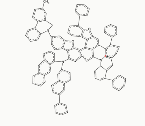 Cc1ccc2c(c1)CN(c1ccc3c(c1)oc1c3c(N(c3ccc4cc(-c5ccccc5)ccc4c3)c3cccc4cc5ccccc5cc34)cc3cc(N4C=CC=C5C(c6ccccc6)=CC=CC54)c4c(-c5ccccc5-c5ccccc5)cc5oc6c(-c7ccccc7)cccc6c5c4c31)c1ccccc1-2